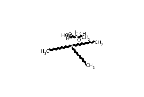 C=C(C)C(=O)NCCCS(=O)(=O)O.CCCCCCCCCCCCN(CCCCCCCCCCCC)CCCCCCCCCCCC